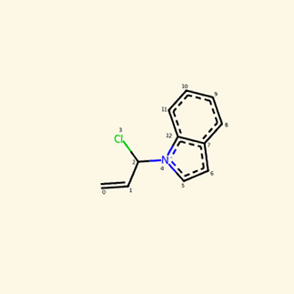 C=CC(Cl)n1ccc2ccccc21